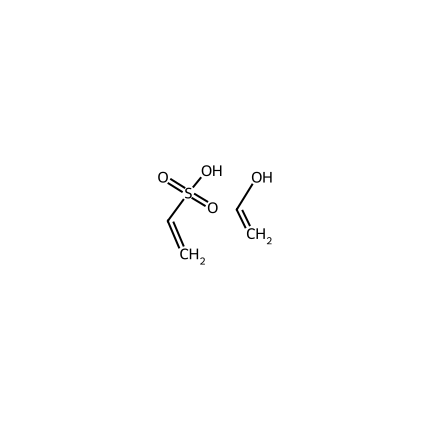 C=CO.C=CS(=O)(=O)O